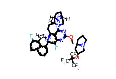 Cc1c(F)ccc2cccc(-c3c(F)c4nc(OC[C@]56CCCN5C[C@H](OC(C(F)(F)F)(C(F)(F)F)C(F)(F)F)C6)nc5c4c([n+]3C)CC[C@@H]3[C@@H]4CC[C@H](CN53)N4)c12